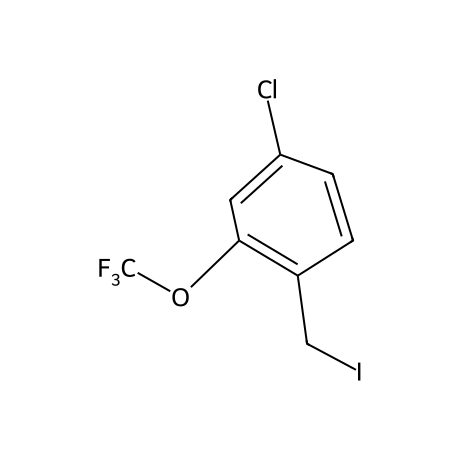 FC(F)(F)Oc1cc(Cl)ccc1CI